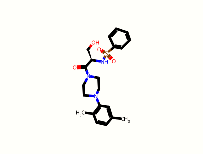 Cc1ccc(C)c(N2CCN(C(=O)[C@@H](CO)NS(=O)(=O)c3ccccc3)CC2)c1